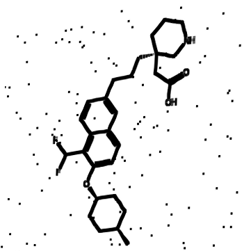 C[C@H]1CC[C@@H](Oc2ccc3cc(CCC[C@]4(CC(=O)O)CCCNC4)ccc3c2C(F)F)CC1